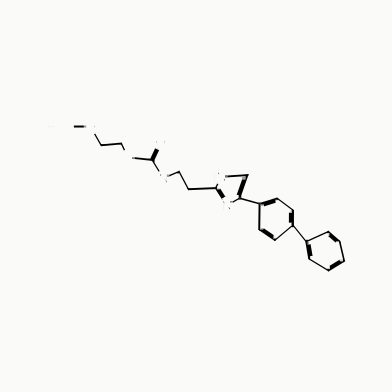 COCCOC(=O)NCCc1nc(-c2ccc(-c3ccccc3)cc2)c[nH]1